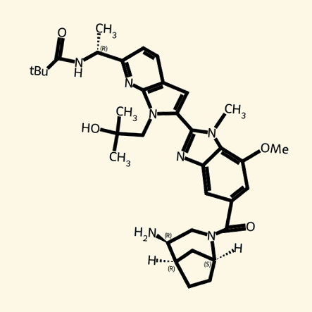 COc1cc(C(=O)N2C[C@H](N)[C@@H]3CC[C@H]2C3)cc2nc(-c3cc4ccc([C@@H](C)NC(=O)C(C)(C)C)nc4n3CC(C)(C)O)n(C)c12